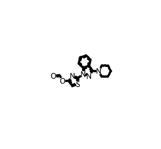 O=COc1csc(-n2nc(N3CCCCC3)c3ccccc32)n1